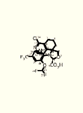 O=C(O)[C@@H]1OCC2(CCCc3c2ccnc3Cl)N1c1ncc(C(F)(F)F)cc1OC(F)F